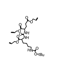 C=CCOC(=O)CCC(NC(=O)NC(CCCCNC(=O)OC(C)(C)C)C(=O)OCC=C)C(=O)OCC=C